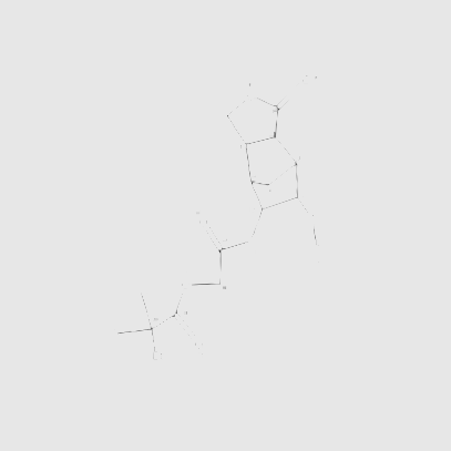 CCOC1C2CC(C3COC(=O)C32)C1OC(=O)COC(=O)C(C)(C)CC